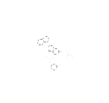 C[C@H](c1cccnc1N)N1c2nc(OC[C@@]34CCCN3C[C@H](F)C4)nc3c(F)c(-c4cc(N)nc5ccc(F)c(Cl)c45)nc(c23)OC[C@@H]1C